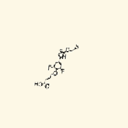 O=C(O)CCCOc1c(F)cc(-c2csc(OCC3CC3)n2)cc1F